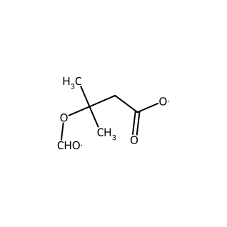 CC(C)(CC([O])=O)O[C]=O